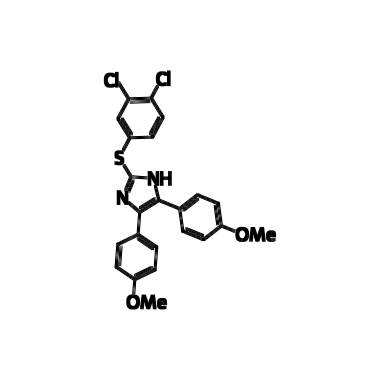 COc1ccc(-c2nc(Sc3ccc(Cl)c(Cl)c3)[nH]c2-c2ccc(OC)cc2)cc1